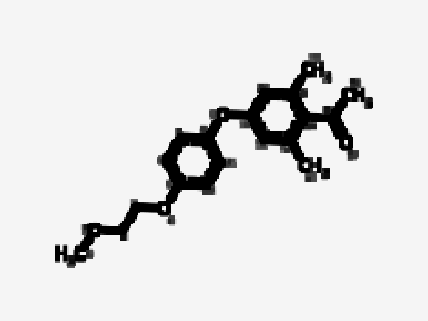 COCCOc1ccc(Oc2cc(C)c(C(C)=O)c(C)c2)cc1